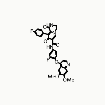 COc1cc2nccc(Oc3ccc(NC(=O)c4cn5c(c(-c6ccc(F)cc6)c4=O)C(=O)NCC5)cc3F)c2cc1OC